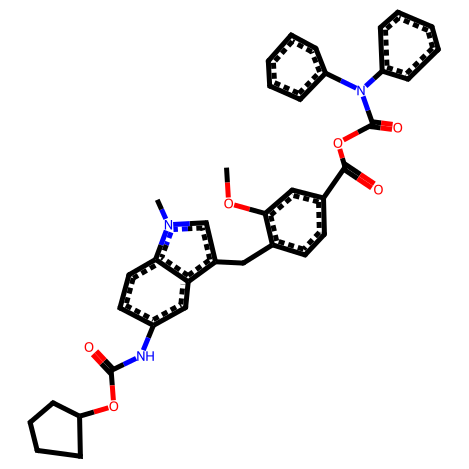 COc1cc(C(=O)OC(=O)N(c2ccccc2)c2ccccc2)ccc1Cc1cn(C)c2ccc(NC(=O)OC3CCCC3)cc12